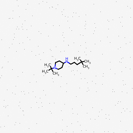 CC(C)(C)CCCNC1CCN(C(C)(C)C)CC1